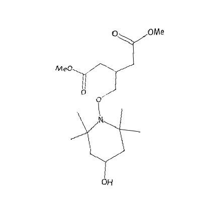 COC(=O)CC(CON1C(C)(C)CC(O)CC1(C)C)CC(=O)OC